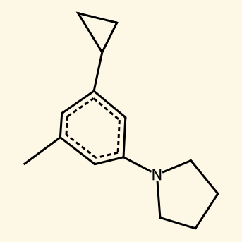 Cc1cc(C2CC2)cc(N2CCCC2)c1